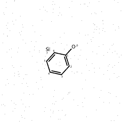 [O]c1ccccc1.[Si]